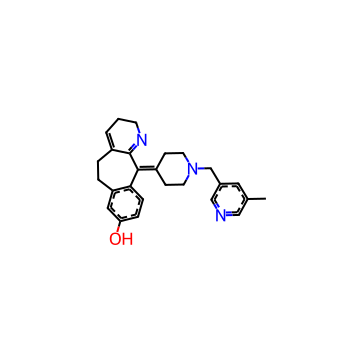 Cc1cncc(CN2CCC(=C3C4=NCCC=C4CCc4cc(O)ccc43)CC2)c1